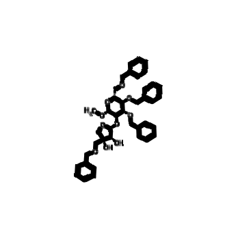 CO[C@@H]1O[C@H](COCc2ccccc2)[C@@H](OCc2ccccc2)[C@H](OCc2ccccc2)[C@H]1O[C@@H]1OC[C@](O)(COCc2ccccc2)[C@H]1O